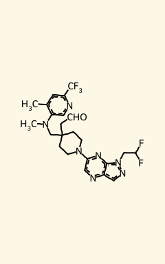 Cc1cc(C(F)(F)F)ncc1N(C)CC1(CC=O)CCN(c2cnc3cnn(CC(F)F)c3n2)CC1